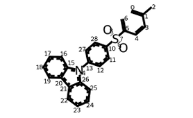 C=C(C)/C=C\C(=C)S(=O)(=O)c1ccc(-n2c3ccccc3c3ccccc32)cc1